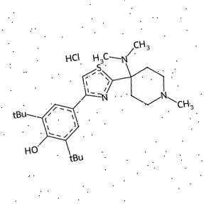 CN1CCC(c2nc(-c3cc(C(C)(C)C)c(O)c(C(C)(C)C)c3)cs2)(N(C)C)CC1.Cl